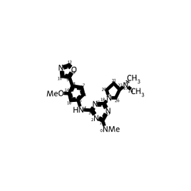 CNc1nc(Nc2ccc(-c3cnco3)c(OC)c2)nc(N2CCC(N(C)C)C2)n1